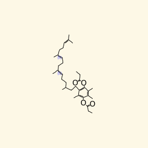 CCC(=O)Oc1c(C)c(C)c(OC(=O)CC)c(CCC(C)CC/C=C(\C)CC/C=C(\C)CCC=C(C)C)c1C